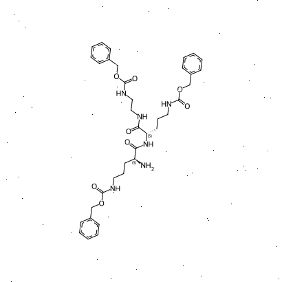 N[C@@H](CCCNC(=O)OCc1ccccc1)C(=O)N[C@@H](CCCNC(=O)OCc1ccccc1)C(=O)NCCNC(=O)OCc1ccccc1